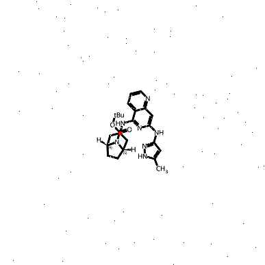 Cc1cc(Nc2cc3ncccc3c(NC3C[C@H]4CC[C@@H](C3)N4C(=O)OC(C)(C)C)n2)n[nH]1